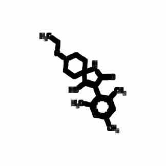 CCON1CCC2(CC1)NC(=O)C(c1c(C)cc(C)cc1C)=C2O